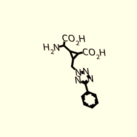 NC(C(=O)O)C1C(Cn2nnc(-c3ccccc3)n2)C1C(=O)O